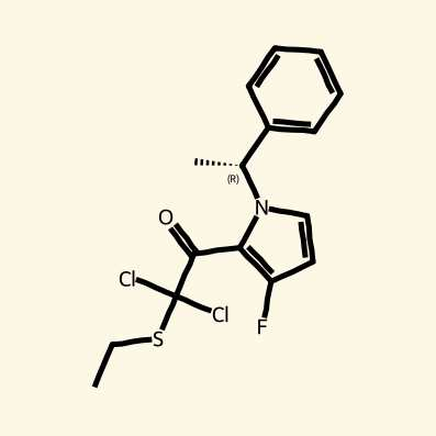 CCSC(Cl)(Cl)C(=O)c1c(F)ccn1[C@H](C)c1ccccc1